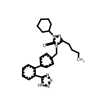 CCCCc1nn(C2CCCCC2)c(=O)n1Cc1ccc(-c2ccccc2-c2nnn[nH]2)cc1